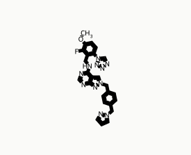 COc1ccc(-n2cnnn2)c(CNc2ncnc3nn(Cc4ccc(Cn5cccn5)cc4)cc23)c1F